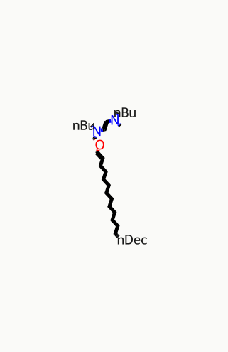 CCCCCCCCCCCCCCCCCCCCCC=COCN(C=CN(C)CCCC)CCCC